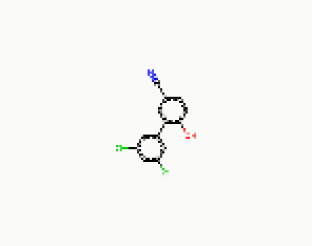 N#Cc1ccc(O)c(-c2cc(Cl)cc(Cl)c2)c1